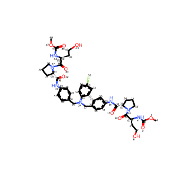 COC(=O)N[C@@H](CCO)C(=O)N1CCC[C@H]1C(=O)Nc1ccc(CN(Cc2ccc(NC(=O)[C@@H]3CCCN3C(=O)[C@H](CCO)NC(=O)OC)cc2)c2ccc(F)cc2)cc1